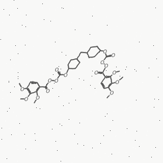 COc1ccc(C(=O)OOC(=O)OC2CCC(CC3CCC(OC(=O)OOC(=O)c4ccc(OC)c(OC)c4OC)CC3)CC2)c(OC)c1OC